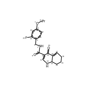 CC(C)Oc1ccc(CNC(=O)C2=CNC3CCCC=C3C2=O)c(F)c1